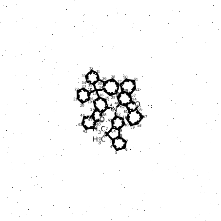 CC1(C)c2ccccc2-c2ccc(N(c3cc(C4(c5ccccc5)c5ccccc5-c5ccccc54)cc4c3oc3ccccc34)c3cc4ccccc4c4oc5ccccc5c34)cc21